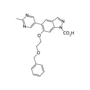 Cc1ncc(-c2cc3cnn(C(=O)O)c3cc2OCCOCc2ccccc2)cn1